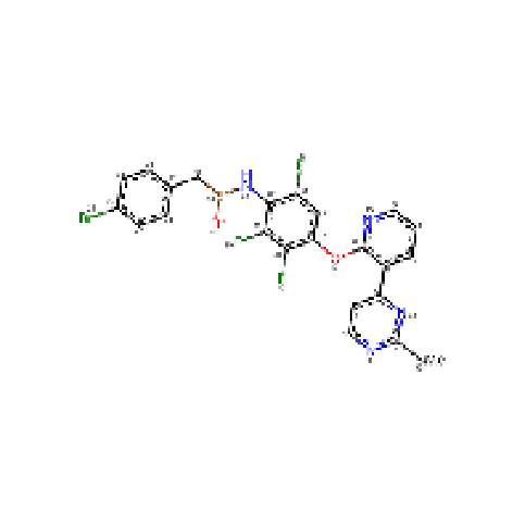 CSc1nccc(-c2cccnc2Oc2cc(F)c(N[S+]([O-])Cc3ccc(Br)cc3)c(F)c2F)n1